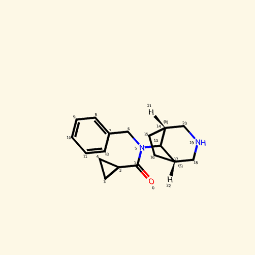 O=C(C1CC1)N(Cc1ccccc1)C1[C@@H]2CC[C@H]1CNC2